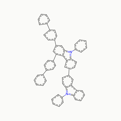 c1ccc(-c2ccc(-c3cc(-c4ccc(-c5ccccc5)cc4)c4c5cc(-c6ccc7c(c6)c6ccccc6n7-c6ccccc6)ccc5n(-c5ccccc5)c4c3)cc2)cc1